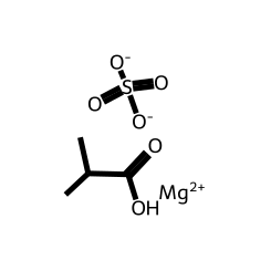 CC(C)C(=O)O.O=S(=O)([O-])[O-].[Mg+2]